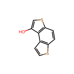 Oc1csc2ccc3sccc3c12